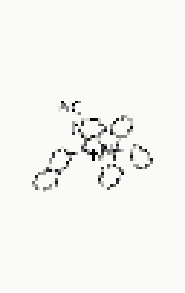 N#Cc1ccc2c(n1)c(-c1ccc3ccccc3c1)nn2C(c1ccccc1)(c1ccccc1)c1ccccc1